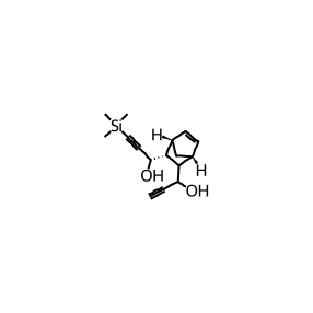 C#CC(O)C1[C@H](C(O)C#C[Si](C)(C)C)[C@@H]2C=C[C@H]1C2